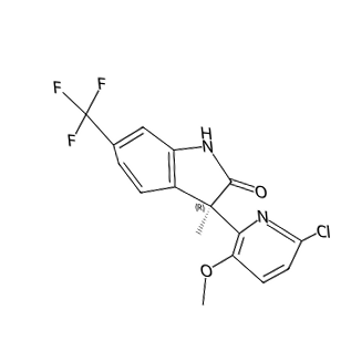 COc1ccc(Cl)nc1[C@]1(C)C(=O)Nc2cc(C(F)(F)F)ccc21